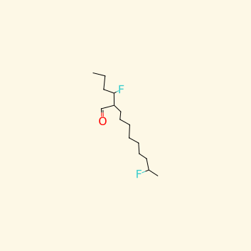 CCCC(F)C(C=O)CCCCCCCC(C)F